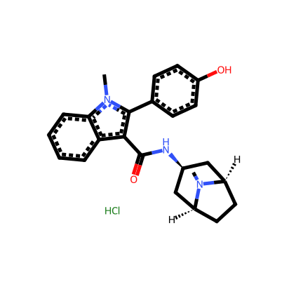 CN1[C@@H]2CC[C@H]1C[C@@H](NC(=O)c1c(-c3ccc(O)cc3)n(C)c3ccccc13)C2.Cl